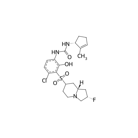 CC1=CCC[C@H]1NC(=O)Nc1ccc(Cl)c(S(=O)(=O)C2CCN3C[C@@H](F)C[C@H]3C2)c1O